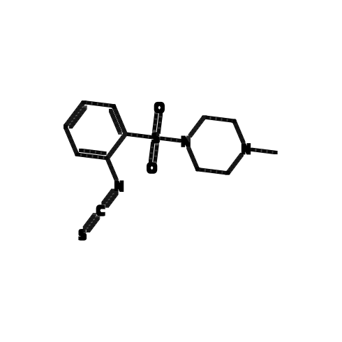 CN1CCN(S(=O)(=O)c2ccccc2N=C=S)CC1